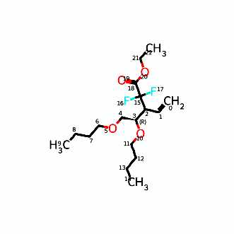 C=CC([C@H](COCCCC)OCCCC)C(F)(F)C(=O)OCC